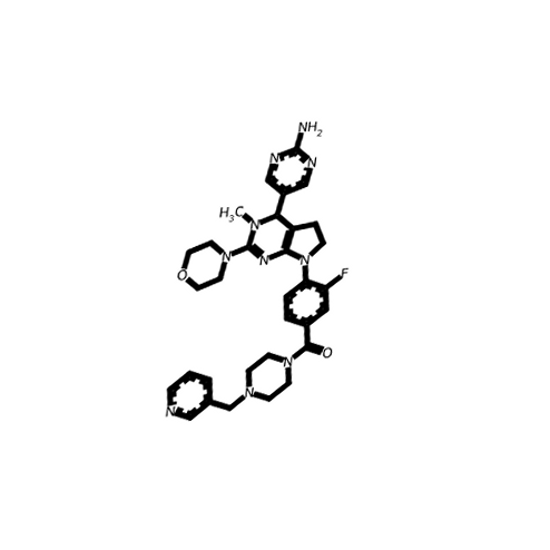 CN1C(N2CCOCC2)=NC2=C(CCN2c2ccc(C(=O)N3CCN(Cc4cccnc4)CC3)cc2F)C1c1cnc(N)nc1